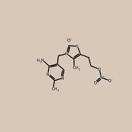 Cc1ncc(C[n+]2csc(CCO[N+](=O)[O-])c2C)c(N)n1.[Cl-]